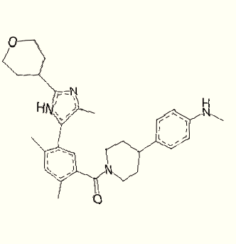 CNc1ccc(C2CCN(C(=O)c3cc(-c4[nH]c(C5CCOCC5)nc4C)c(C)cc3C)CC2)cc1